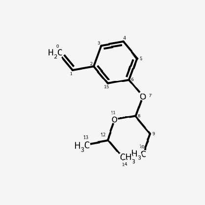 C=Cc1cccc(OC(CC)OC(C)C)c1